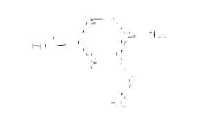 O=C(O)c1ccc([N+](=O)[O-])c(OC(F)(F)F)c1